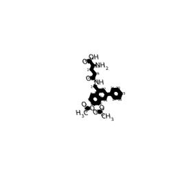 CC(=O)Oc1ccc2c(c1OC(C)=O)CC(c1ccccc1)C=C2CNC(=O)CC[C@H](N)C(=O)O